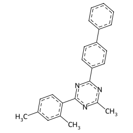 Cc1ccc(-c2nc(C)nc(-c3ccc(-c4ccccc4)cc3)n2)c(C)c1